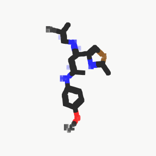 CC/C(C)=C/N=C(\C=C(/C)Nc1ccc(OC(F)(F)F)cc1)c1csc(C)n1